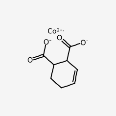 O=C([O-])C1C=CCCC1C(=O)[O-].[Co+2]